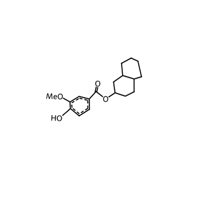 COc1cc(C(=O)OC2CCC3CCCCC3C2)ccc1O